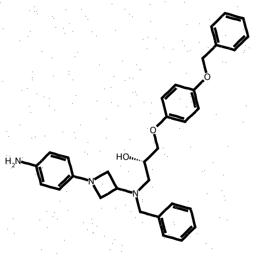 Nc1ccc(N2CC(N(Cc3ccccc3)C[C@H](O)COc3ccc(OCc4ccccc4)cc3)C2)cc1